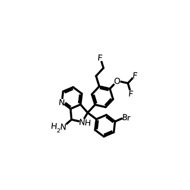 NC1NC(c2cccc(Br)c2)(c2ccc(OC(F)F)c(CCF)c2)c2cccnc21